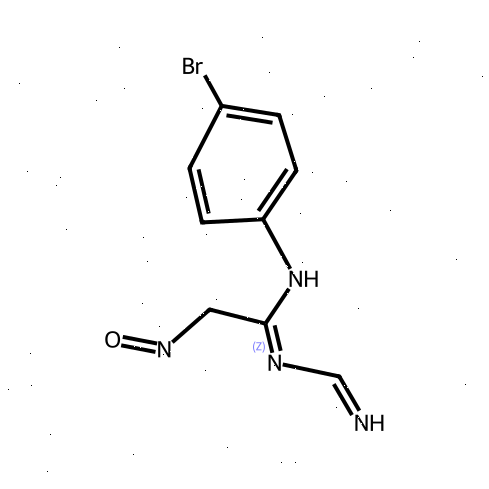 N=C/N=C(/CN=O)Nc1ccc(Br)cc1